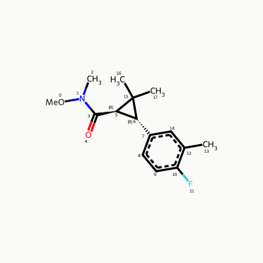 CON(C)C(=O)[C@@H]1[C@@H](c2ccc(F)c(C)c2)C1(C)C